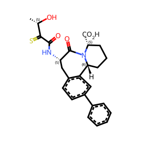 C[C@H](O)C(=S)C(=O)N[C@H]1Cc2ccc(-c3ccccc3)cc2[C@H]2CCC[C@@H](C(=O)O)N2C1=O